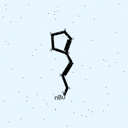 CCCCCC=CC1=CCCC1